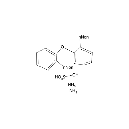 CCCCCCCCCc1ccccc1Oc1ccccc1CCCCCCCCC.N.N.O=S(=O)(O)O